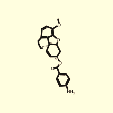 COc1ccc2c3c1OC1C[C@@H](OC(=O)c4ccc(N)cc4)C=C[C@@]31CCCC2